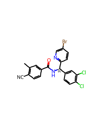 Cc1cc(C(=O)N[C@H](c2ccc(Cl)c(Cl)c2)c2ccc(Br)cn2)ccc1C#N